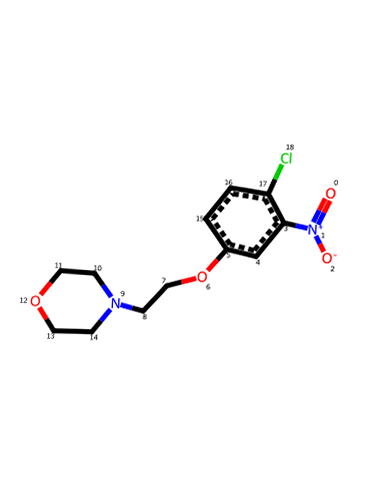 O=[N+]([O-])c1cc(OCCN2CCOCC2)ccc1Cl